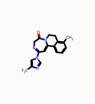 Cc1cccc2c1CCN1C(=O)CN=C(n3cnc(C(F)(F)F)c3)C=C21